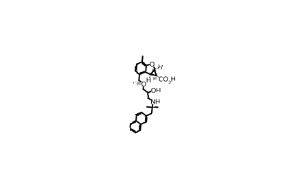 Cc1ccc([C@@H](C)OCC(O)CNC(C)(C)Cc2ccc3ccccc3c2)c2c1O[C@H]1[C@H](C(=O)O)[C@@H]21